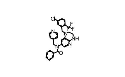 O=C(c1ccccc1)N(Cc1ccncc1)c1cnc2c(c1)N(Cc1cc(Cl)ccc1C(F)(F)F)CCN2